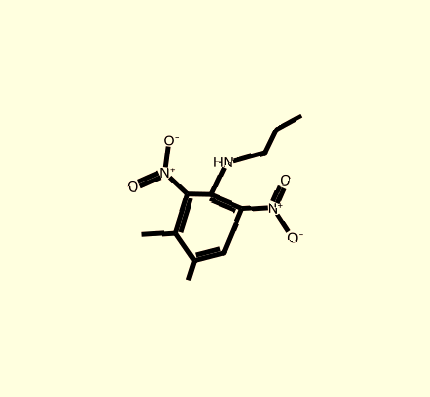 CCCNc1c([N+](=O)[O-])cc(C)c(C)c1[N+](=O)[O-]